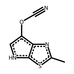 Cc1nc2c(OC#N)c[nH]c2s1